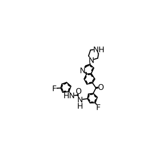 O=C(Nc1cccc(F)c1)Nc1cc(F)cc(C(=O)c2ccc3ncc(N4CCNCC4)cc3c2)c1